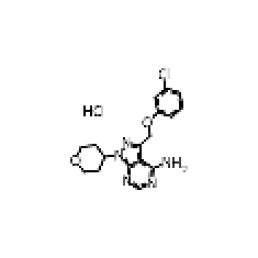 Cl.Nc1ncnc2c1c(COc1cccc(Cl)c1)nn2C1CCOCC1